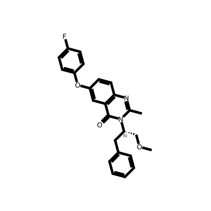 COC[C@H](Cc1ccccc1)n1c(C)nc2ccc(Oc3ccc(F)cc3)cc2c1=O